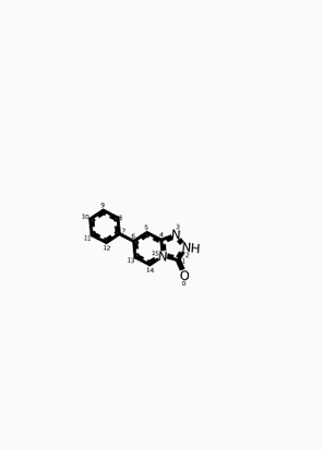 O=c1[nH]nc2cc(-c3ccccc3)ccn12